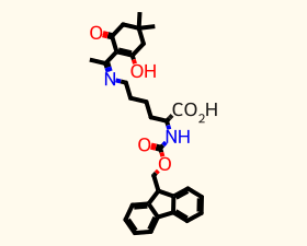 CC(=NCCCCC(NC(=O)OCC1c2ccccc2-c2ccccc21)C(=O)O)C1=C(O)CC(C)(C)CC1=O